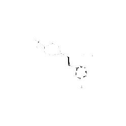 COc1ncc(N)cc1/C=C/C1CCC(C(F)(F)F)CC1